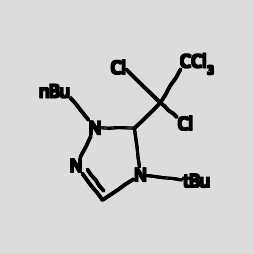 CCCCN1N=CN(C(C)(C)C)C1C(Cl)(Cl)C(Cl)(Cl)Cl